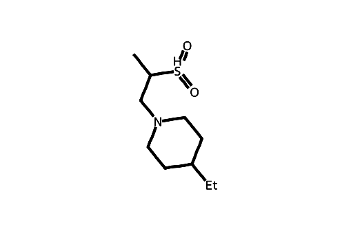 [CH2]CC1CCN(CC(C)[SH](=O)=O)CC1